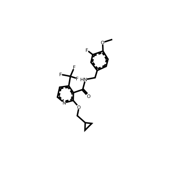 COc1ccc(CNC(=O)c2c(C(F)(F)F)ccnc2OCC2CC2)cc1F